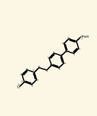 CCCCCc1ccc(-c2ccc(CCc3ccc(Cl)cc3)cc2)cc1